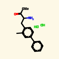 COC(=O)C(N)Cc1ccc(-c2ccccc2)cc1C.Cl.Cl